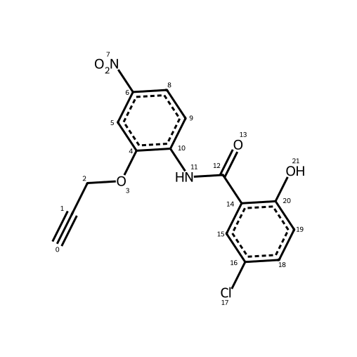 C#CCOc1cc([N+](=O)[O-])ccc1NC(=O)c1cc(Cl)ccc1O